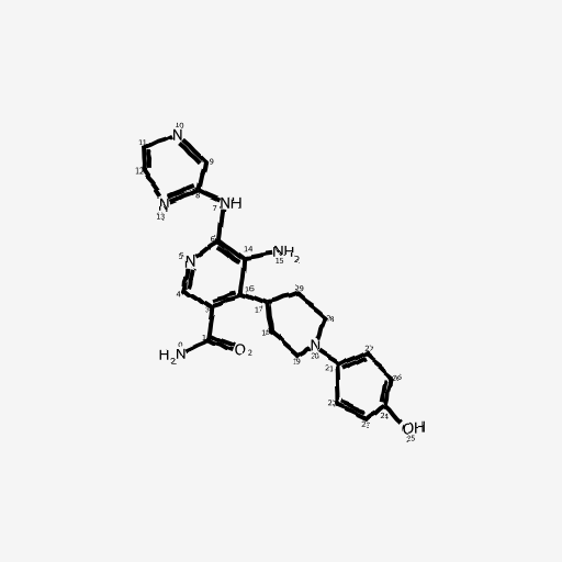 NC(=O)c1cnc(Nc2cnccn2)c(N)c1C1CCN(c2ccc(O)cc2)CC1